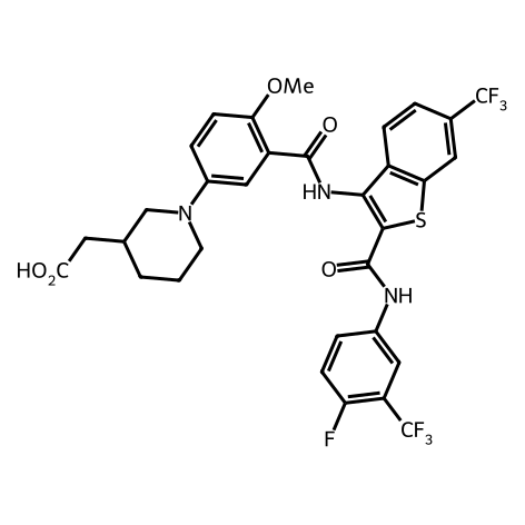 COc1ccc(N2CCCC(CC(=O)O)C2)cc1C(=O)Nc1c(C(=O)Nc2ccc(F)c(C(F)(F)F)c2)sc2cc(C(F)(F)F)ccc12